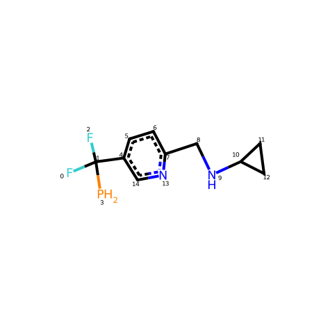 FC(F)(P)c1ccc(CNC2CC2)nc1